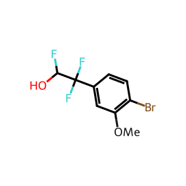 COc1cc(C(F)(F)C(O)F)ccc1Br